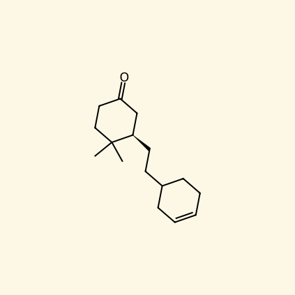 CC1(C)CCC(=O)C[C@H]1CCC1CC=CCC1